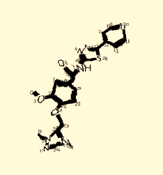 COc1cc(C(=O)Nc2nnc(-c3ccncc3)s2)ccc1OCc1ncnn1C